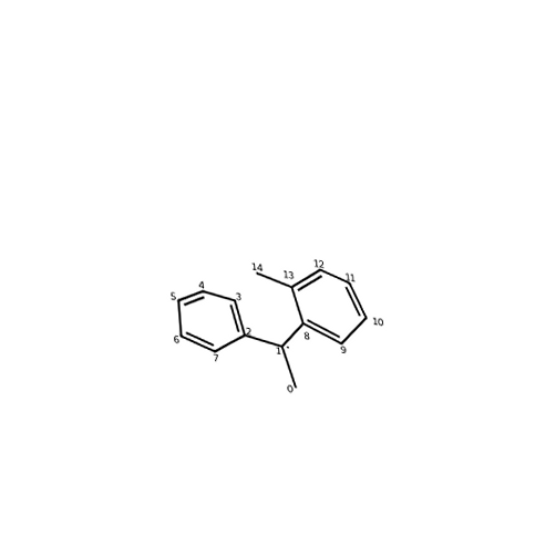 C[C](c1ccccc1)c1ccccc1C